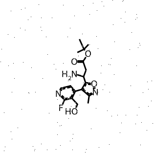 Cc1noc(C(N)CC(=O)OC(C)(C)C)c1-c1ccnc(F)c1CO